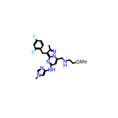 COCCNCc1cc(Nc2cn(C)cn2)nc2c(Cc3ccc(F)cc3F)c(C)nn12